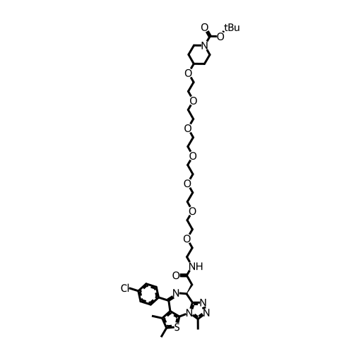 Cc1sc2c(c1C)C(c1ccc(Cl)cc1)=N[C@@H](CC(=O)NCCOCCOCCOCCOCCOCCOCCOC1CCN(C(=O)OC(C)(C)C)CC1)c1nnc(C)n1-2